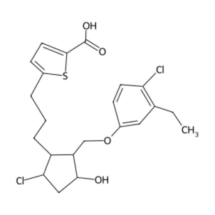 CCc1cc(OCC2C(O)CC(Cl)C2CCCc2ccc(C(=O)O)s2)ccc1Cl